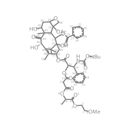 COCCOC(=O)C(C)OC(=O)CC(=O)OC(C(=O)OC1CC2(O)C(OC(=O)c3ccccc3)C3C4(OC(C)=O)COC4CC(O)C3(C)C(=O)[C@@H](O)C(=C1C)C2(C)C)C(NC(=O)OC(C)(C)C)c1ccccc1